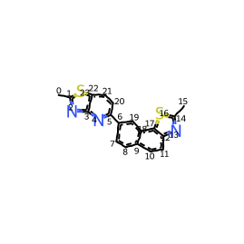 Cc1nc2nc(-c3ccc4ccc5nc(C)sc5c4c3)ccc2s1